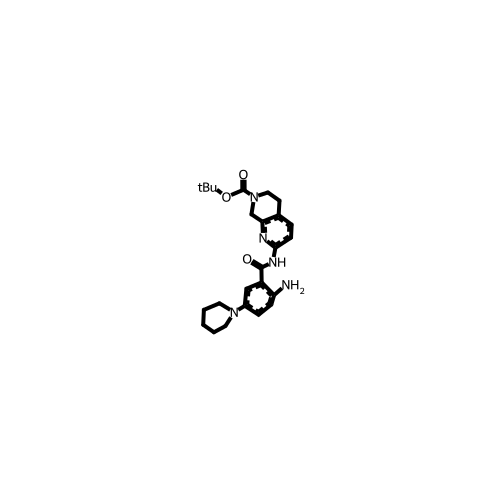 CC(C)(C)OC(=O)N1CCc2ccc(NC(=O)c3cc(N4CCCCC4)ccc3N)nc2C1